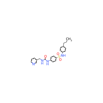 CCCc1ccc(NS(=O)(=O)c2ccc(NC(=O)NCc3cccnc3)cc2)cc1